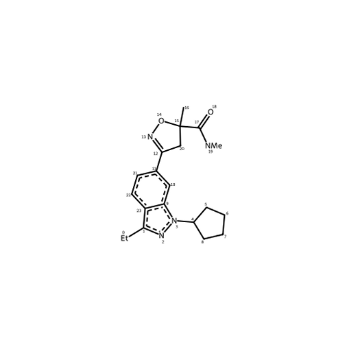 CCc1nn(C2CCCC2)c2cc(C3=NOC(C)(C(=O)NC)C3)ccc12